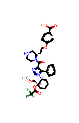 COC[C@]1(OC(=O)C(F)(F)F)CCCC[C@H]1n1cnc(C(=O)N2CCNC[C@H]2CCOc2ccc(C(=O)O)cc2)c1-c1ccccc1